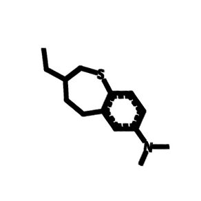 CCC1CCc2cc(N(C)C)ccc2SC1